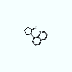 O=C1CCCN1c1cccc2cccnc12